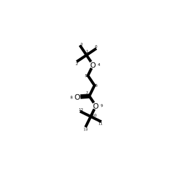 CC(C)(C)OC[CH]C(=O)OC(C)(C)C